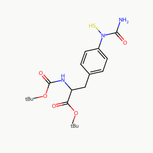 CC(C)(C)OC(=O)NC(Cc1ccc(N(S)C(N)=O)cc1)C(=O)OC(C)(C)C